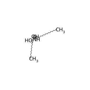 CCCCCCCCCCC/C=C/[C@@H](O)[C@H](CO)NC(=O)CCCCCCCCCCCCCCCCC